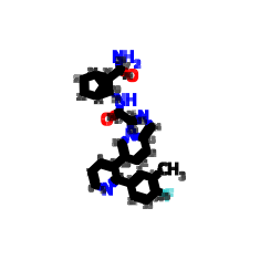 Cc1cc(-c2ncccc2-c2ccc3cnc(C(=O)N[C@@H]4C5C=CC(C5)C4C(N)=O)n3c2)ccc1F